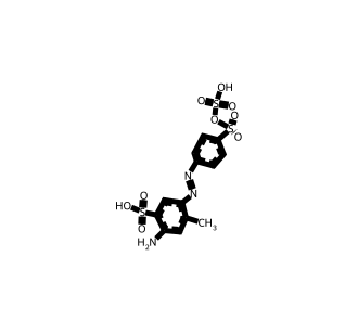 Cc1cc(N)c(S(=O)(=O)O)cc1N=Nc1ccc(S(=O)(=O)OS(=O)(=O)O)cc1